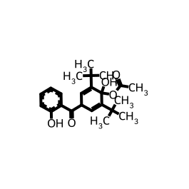 CC(=O)OC1(O)C(C(C)(C)C)=CC(C(=O)c2ccccc2O)C=C1C(C)(C)C